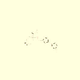 Cc1ccc(-c2cc(CNC3(C(=O)NO)CCS(=O)(=O)CC3)no2)s1